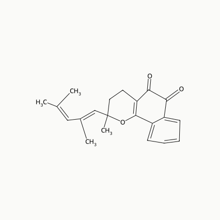 CC(C)=C/C(C)=C/C1(C)CCC2=C(O1)c1ccccc1C(=O)C2=O